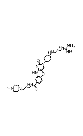 N=C(N)NCCCNC1CCC(n2cc3c(nc2=O)Nc2cc(C(=O)NCCCN4CCNCC4)ccc2O3)CC1